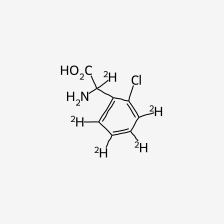 [2H]c1c([2H])c([2H])c(C([2H])(N)C(=O)O)c(Cl)c1[2H]